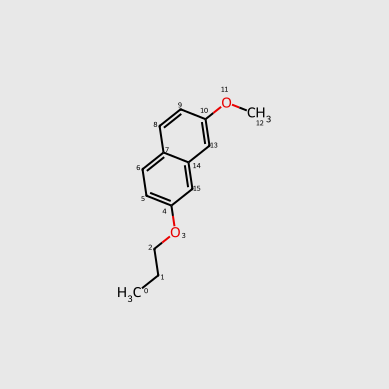 CCCOc1ccc2ccc(OC)cc2c1